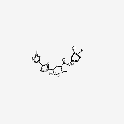 CN1SNC(c2ccc(-c3cnn(C)c3)s2)CC1C(=O)Nc1ccc(F)c(Cl)c1